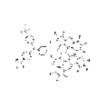 FC(F)(F)c1ccc([S+](c2ccccc2)c2ccc(C(F)(F)F)cc2)cc1.O=C([O-])c1cc(Oc2c(F)c(F)c(F)c(F)c2F)c(Oc2c(F)c(F)c(F)c(F)c2F)c(Oc2c(F)c(F)c(F)c(F)c2F)c1-c1c(F)c(F)c(F)c(F)c1F